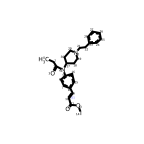 CCC(=O)N(c1ccc(/C=C/C(=O)OI)cc1)C1CCN(CCc2ccccc2)CC1